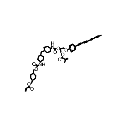 C=CC(=O)OCC1CCC(COC(=O)NC2CCC(CC3CCC(NC(=O)OC(COC(=O)C(=C)C)COc4ccc(C#CC#CC#CC#CC)cc4)CC3)CC2)CC1